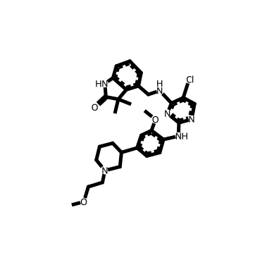 COCCN1CCCC(c2ccc(Nc3ncc(Cl)c(NCc4cccc5c4C(C)(C)C(=O)N5)n3)c(OC)c2)C1